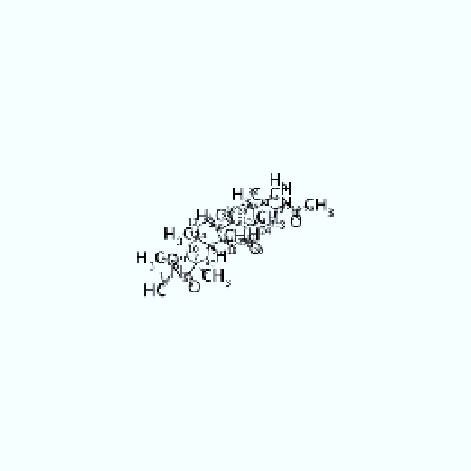 C#CN(OC)C(=O)[C@@]1(C)CC[C@]2(C)CC[C@]3(C)C(=CC(=O)[C@@H]4[C@@]5(C)CC[C@H](NC(C)=O)C(C)(C)C5CC[C@]43C)[C@@H]2C1